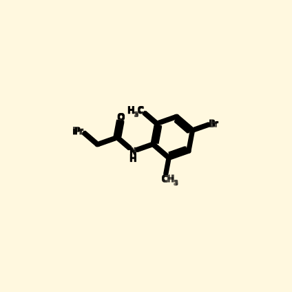 Cc1cc(Br)cc(C)c1NC(=O)CC(C)C